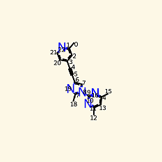 Cc1cc(C#Cc2cn(-c3nc(C)cc(C)n3)c(C)n2)ccn1